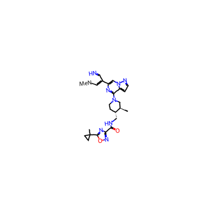 CN/C=C(\C=N)c1cn2nccc2c(N2CC[C@@H](CNC(=O)c3noc(C4(C)CC4)n3)[C@H](C)C2)n1